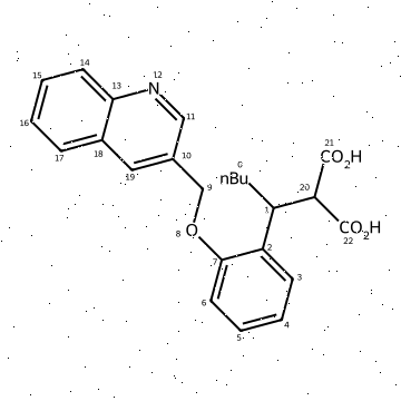 CCCCC(c1ccccc1OCc1cnc2ccccc2c1)C(C(=O)O)C(=O)O